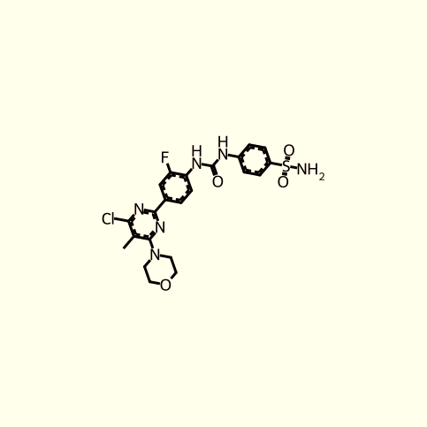 Cc1c(Cl)nc(-c2ccc(NC(=O)Nc3ccc(S(N)(=O)=O)cc3)c(F)c2)nc1N1CCOCC1